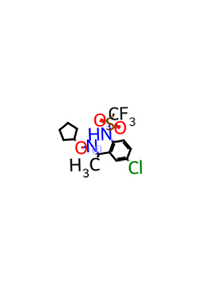 C/C(=N\OC1CCCC1)c1cc(Cl)ccc1NS(=O)(=O)C(F)(F)F